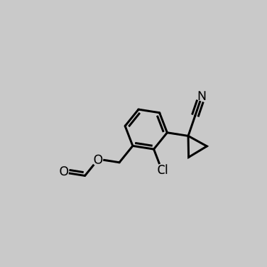 N#CC1(c2cccc(COC=O)c2Cl)CC1